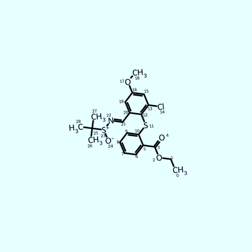 CCOC(=O)c1ccccc1Sc1c(Cl)cc(OC)cc1/C=N/[S+]([O-])C(C)(C)C